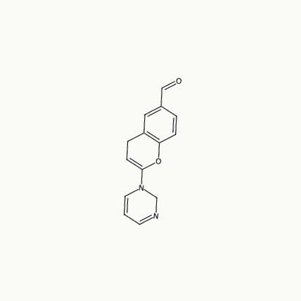 O=Cc1ccc2c(c1)CC=C(N1C=CC=NC1)O2